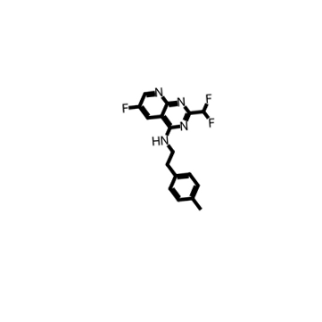 Cc1ccc(CCNc2nc(C(F)F)nc3ncc(F)cc23)cc1